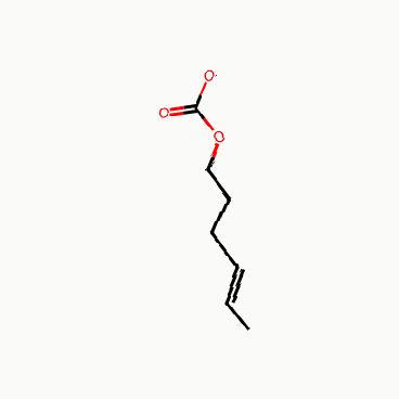 C/C=C/CCCOC([O])=O